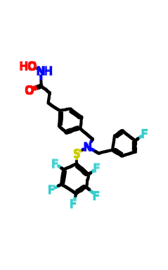 O=C(CCc1ccc(CN(Cc2ccc(F)cc2)Sc2c(F)c(F)c(F)c(F)c2F)cc1)NO